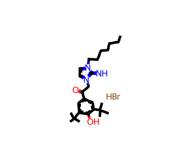 Br.CCCCCCCn1ccn(CC(=O)c2cc(C(C)(C)C)c(O)c(C(C)(C)C)c2)c1=N